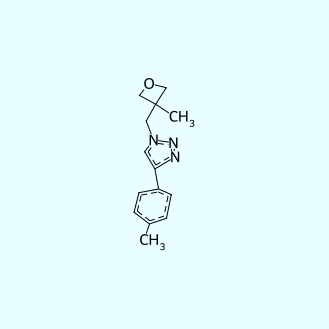 Cc1ccc(-c2cn(CC3(C)COC3)nn2)cc1